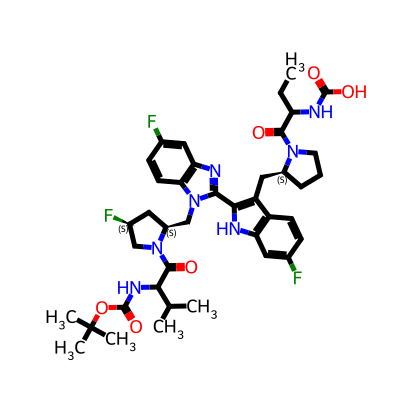 CCC(NC(=O)O)C(=O)N1CCC[C@H]1Cc1c(-c2nc3cc(F)ccc3n2C[C@@H]2C[C@H](F)CN2C(=O)C(NC(=O)OC(C)(C)C)C(C)C)[nH]c2cc(F)ccc12